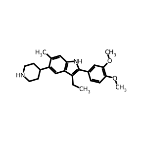 CCc1c(-c2ccc(OC)c(OC)c2)[nH]c2cc(C)c(C3CCNCC3)cc12